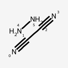 N#CC#N.NN